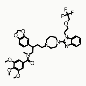 COc1cc(C(=O)N(C)CC(CCN2CCCN(c3nc4ccccc4n3CCOCC(F)(F)F)CC2)c2ccc3c(c2)OCO3)cc(OC)c1OC